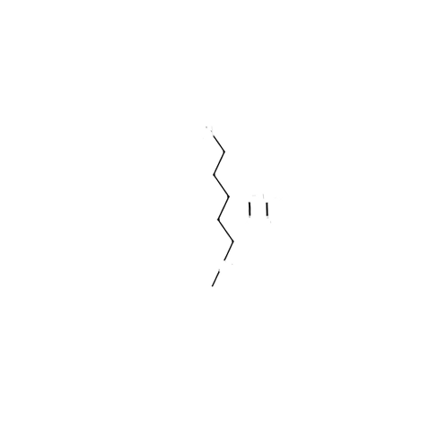 CCC(C)[O-].CCC(C)[O-].[CH3][Sn+2][CH2]CCCCN